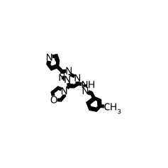 Cc1cccc(C=NNc2cc(N3CCOCC3)n3nc(-c4ccncc4)nc3n2)c1